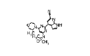 C[C@@H]1COCCN1c1cc(N=S(C)(C)=O)nc(-c2cc(C#N)nc3[nH]ccc23)n1